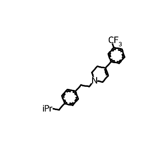 CC(C)Cc1ccc(CCN2CC=C(c3cccc(C(F)(F)F)c3)CC2)cc1